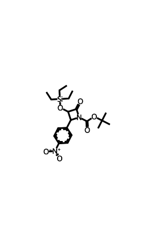 CC[Si](CC)(CC)OC1C(=O)N(C(=O)OC(C)(C)C)C1c1ccc([N+](=O)[O-])cc1